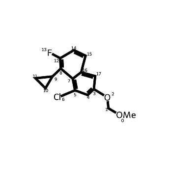 COCOc1cc(Cl)c2c(C3CC3)c(F)ccc2c1